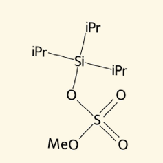 COS(=O)(=O)O[Si](C(C)C)(C(C)C)C(C)C